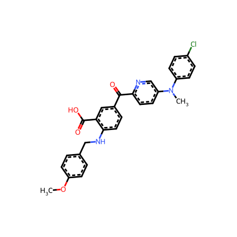 COc1ccc(CNc2ccc(C(=O)c3ccc(N(C)c4ccc(Cl)cc4)cn3)cc2C(=O)O)cc1